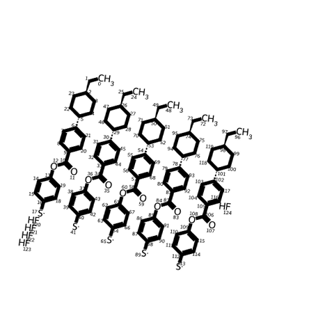 CC[C@H]1CC[C@H](c2ccc(C(=O)Oc3ccc([S])cc3)cc2)CC1.CC[C@H]1CC[C@H](c2ccc(C(=O)Oc3ccc([S])cc3)cc2)CC1.CC[C@H]1CC[C@H](c2ccc(C(=O)Oc3ccc([S])cc3)cc2)CC1.CC[C@H]1CC[C@H](c2ccc(C(=O)Oc3ccc([S])cc3)cc2)CC1.CC[C@H]1CC[C@H](c2ccc(C(=O)Oc3ccc([S])cc3)cc2)CC1.F.F.F.F.F